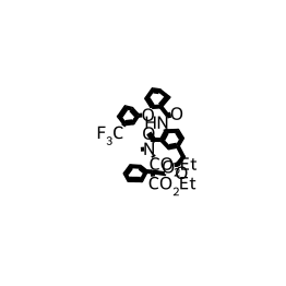 CCOC(=O)C(COC(=O)Cc1ccc(NC(=O)c2ccccc2Oc2cccc(C(F)(F)F)c2)c(C(=O)N(C)C)c1)(C(=O)OCC)c1ccccc1